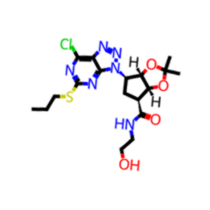 CCCSc1nc(Cl)c2nnn([C@@H]3C[C@H](C(=O)NCCO)[C@H]4OC(C)(C)O[C@H]43)c2n1